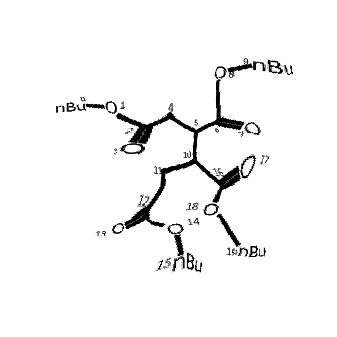 CCCCOC(=O)CC(C(=O)OCCCC)C(CC(=O)OCCCC)C(=O)OCCCC